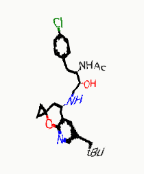 CC(=O)N[C@@H](Cc1ccc(Cl)cc1)[C@H](O)CN[C@H]1CC2(CC2)Oc2ncc(CC(C)(C)C)cc21